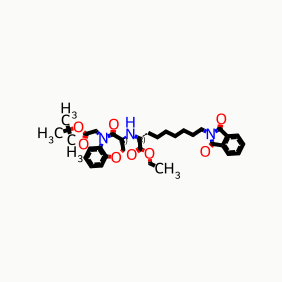 CCOC(=O)[C@@H](CCCCCCCN1C(=O)c2ccccc2C1=O)N[C@H]1COc2ccccc2N(CC(=O)OC(C)(C)C)C1=O